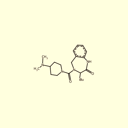 CCC(C)C1C(=O)Nc2ccccc2CN1C(=O)N1CCC(N(C)C)CC1